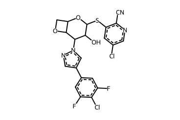 N#Cc1ncc(Cl)cc1SC1OC2COC2C(n2cc(-c3cc(F)c(Cl)c(F)c3)cn2)C1O